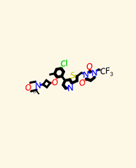 Cc1cc(Cl)cc(-c2ccnc3cc(Cn4c(=O)ccn(CC(F)(F)F)c4=O)sc23)c1OC1CC(N2CCOC[C@@H]2C)C1